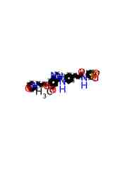 COc1cc2c(Nc3ccc(/C=C/C(=O)NC4CCS(=O)(=O)C4)cc3)ncnc2cc1OCCCN1CCOCC1